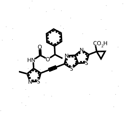 Cc1nsc(C#Cc2nc3nc(C4(C(=O)O)CC4)sc3s2)c1NC(=O)OC(C)c1ccccc1